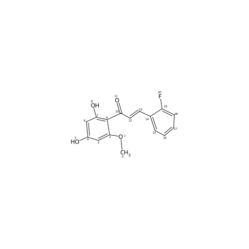 COc1cc(O)cc(O)c1C(=O)/C=C/c1ccccc1F